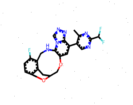 Cc1nc(C(F)F)ncc1-c1cc2c(n3cnnc13)NCc1c(F)ccc3c1CC(CO2)O3